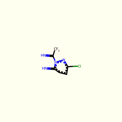 N=C(n1nc(Cl)ccc1=N)C(F)(F)F